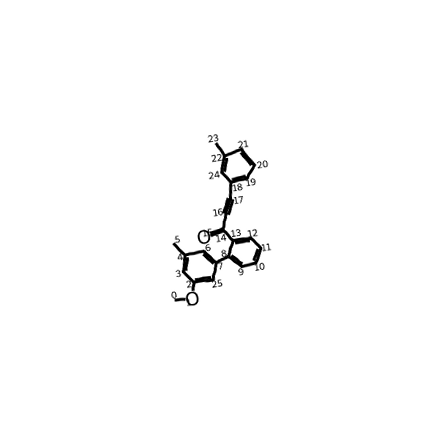 COc1cc(C)cc(-c2ccccc2C(=O)C#Cc2cccc(C)c2)c1